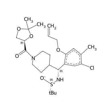 C=CCOc1cc(C)c(Cl)cc1[C@H](N[S@@+]([O-])C(C)(C)C)C1CCN(C(=O)[C@H]2COC(C)(C)O2)CC1